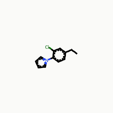 C[CH]c1ccc(-n2cccc2)c(Cl)c1